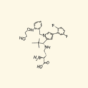 CC(C)(C)[C@@H](NCC[C@H](N)C(=O)O)c1cc(-c2cc(F)ccc2F)cn1Cc1ccccc1.OCCO